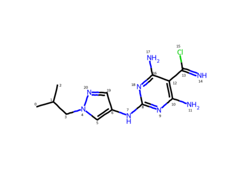 CC(C)Cn1cc(Nc2nc(N)c(C(=N)Cl)c(N)n2)cn1